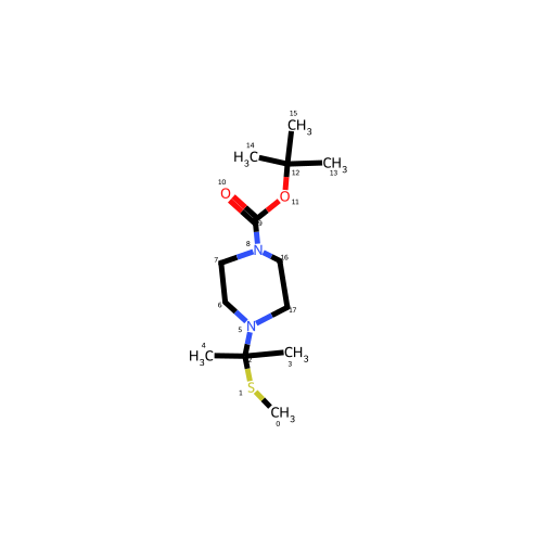 CSC(C)(C)N1CCN(C(=O)OC(C)(C)C)CC1